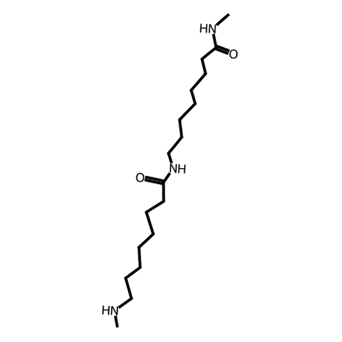 CNCCCCCCCC(=O)NCCCCCCCC(=O)NC